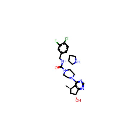 C[C@@H]1C[C@@H](O)c2ncnc(N3CCN(C(=O)N(Cc4ccc(Cl)c(F)c4)[C@@H]4CCNC4)CC3)c21